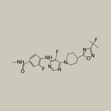 CNC(=O)c1ccc(Nc2ncnc(N3CCC(c4nc(C(C)(C)F)no4)CC3)c2F)c(F)c1